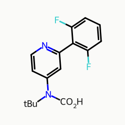 CC(C)(C)N(C(=O)O)c1ccnc(-c2c(F)cccc2F)c1